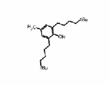 Cc1cc(CCCCC(C)(C)C)c(O)c(CCCCC(C)(C)C)c1